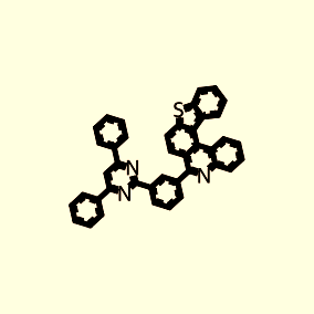 c1ccc(-c2cc(-c3ccccc3)nc(-c3cccc(-c4nc5ccccc5c5c4ccc4sc6ccccc6c45)c3)n2)cc1